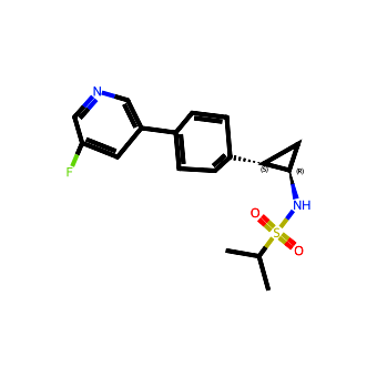 CC(C)S(=O)(=O)N[C@@H]1C[C@H]1c1ccc(-c2cncc(F)c2)cc1